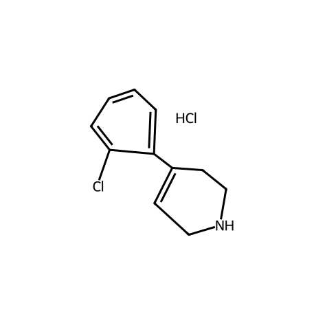 Cl.Clc1ccccc1C1=CCNCC1